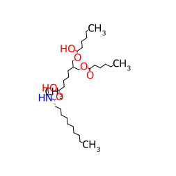 CCCCCCCCCC[C@H](NC)OC(O)CCCCC(COC(=O)CCCCC)COC(O)CCCCC